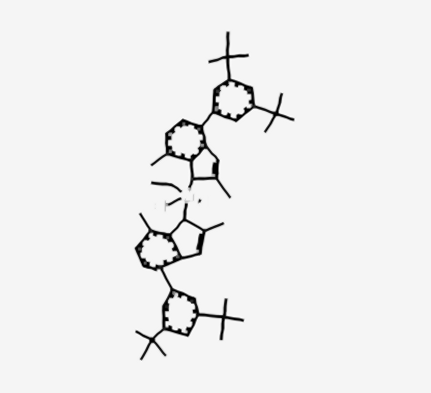 C[CH2][Zr]([Cl])([Cl])([CH]1C(C)=Cc2c(-c3cc(C(C)(C)C)cc(C(C)(C)C)c3)ccc(C)c21)[CH]1C(C)=Cc2c(-c3cc(C(C)(C)C)cc(C(C)(C)C)c3)ccc(C)c21